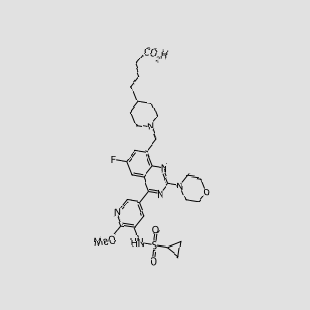 COc1ncc(-c2nc(N3CCOCC3)nc3c(CN4CCC(CCCC(=O)O)CC4)cc(F)cc23)cc1NS(=O)(=O)C1CC1